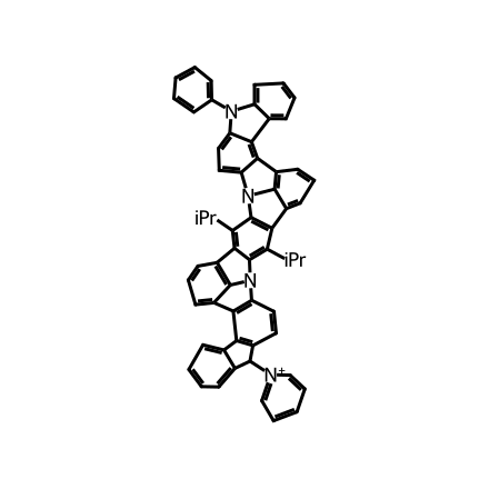 CC(C)c1c2c3cccc4c5c6c7ccccc7n(-c7ccccc7)c6ccc5n(c2c(C(C)C)c2c5cccc6c7c8c(ccc7n(c12)c65)C([n+]1ccccc1)c1ccccc1-8)c34